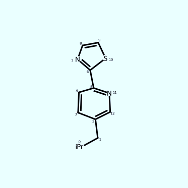 CC(C)Cc1ccc(-c2nccs2)nc1